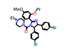 CCN1CCN(C(=O)N2C(c3ccc(OC)cc3OC(C)C)=NC(c3ccc(Br)cc3)C2c2ccc(Br)cc2)CC1